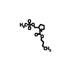 CCCCOC(=O)N1CCCC1COS(C)(=O)=O